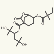 CCC(C)(C)C(=O)OC1CCC2(C(=O)OC(CC(C)(C)O)C(C)(C)O)CC1OC2=O